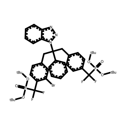 CC(C)(C)OP(=O)(OC(C)(C)C)C(F)(F)c1ccc(CC(Cc2ccc(C(F)(F)P(=O)(OC(C)(C)C)OC(C)(C)C)c(Br)c2)(c2ccccc2)n2nnc3ccccc32)cc1